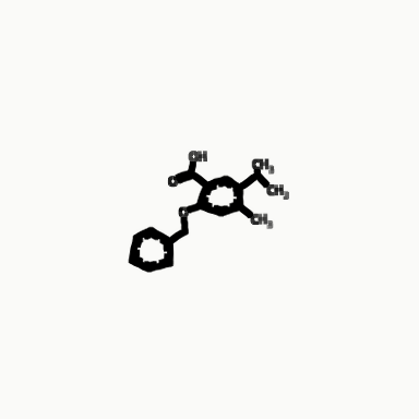 Cc1cc(OCc2ccccc2)c(C(=O)O)cc1C(C)C